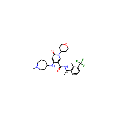 Cc1c([C@@H](C)NC(=O)c2cn(C3CCOCC3)c(=O)cc2NC2CCCN(C)CC2)cccc1C(F)(F)F